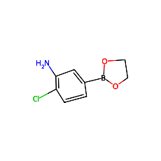 Nc1cc(B2OCCO2)ccc1Cl